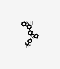 FC(F)(F)c1ccc(-n2c3ccccc3c3cc(-c4ccc5[nH]c6ccccc6c5c4)ccc32)cc1